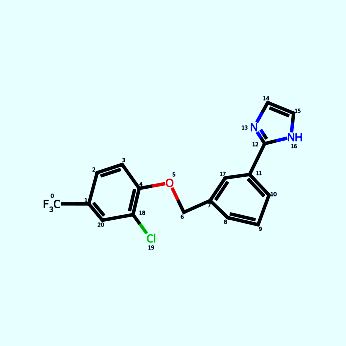 FC(F)(F)c1ccc(OCc2cccc(-c3ncc[nH]3)c2)c(Cl)c1